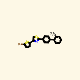 O=[N+]([O-])c1ccccc1-c1ccc(-c2nc(-c3ccc(Br)s3)cs2)cc1